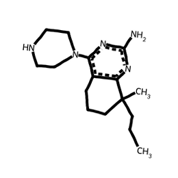 CCCC1(C)CCCc2c(N3CCNCC3)nc(N)nc21